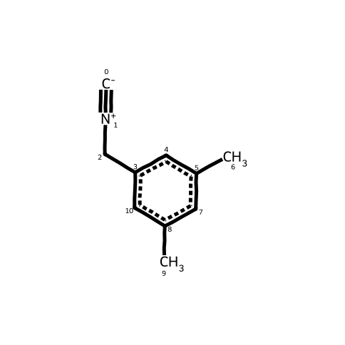 [C-]#[N+]Cc1cc(C)cc(C)c1